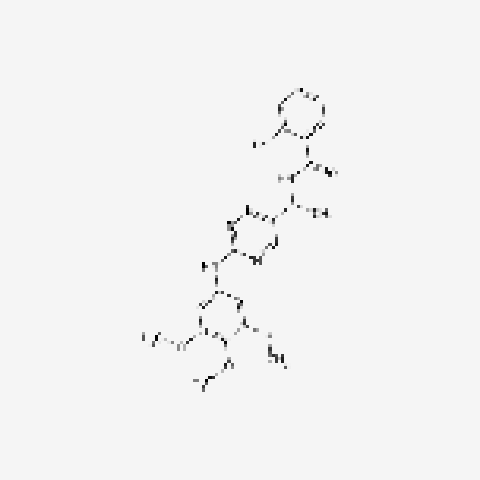 COc1cc(Nc2ncc(C(C)NC(=O)c3ccccc3Br)nn2)cc(OC)c1OC